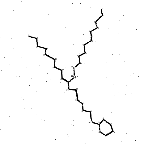 CCCCCCCCCCONC(CCCCCCCCC)CCCCCCOC1CCCCO1